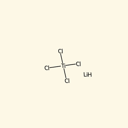 [Cl][Ti]([Cl])([Cl])[Cl].[LiH]